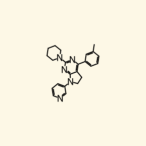 Cc1cccc(-c2nc(N3CCCCC3)nc3c2CCN3c2cccnc2)c1